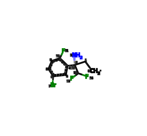 [CH2]C[C@](N)(c1cc(Br)ccc1F)C(F)F